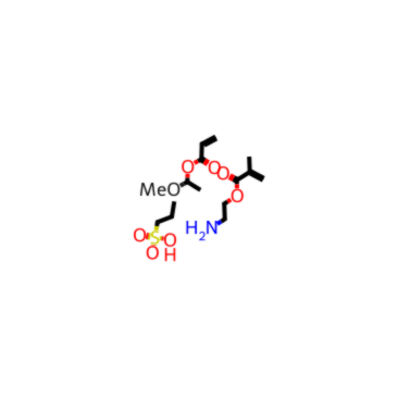 C=C(C)C(=O)OCCN.C=CC(=O)OC(C)OC.CCCS(=O)(=O)O